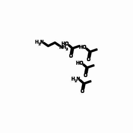 CC(=O)O.CC(=O)O.CC(=O)O.CC(N)=O.NCCN